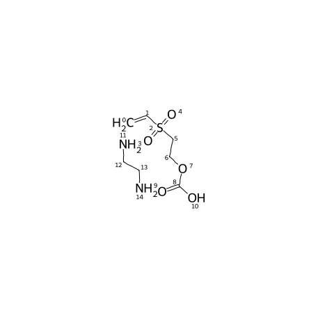 C=CS(=O)(=O)CCOC(=O)O.NCCN